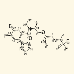 C=N/C(=C\N=C(/C)C(F)(F)F)OC[C@H](C)N(CC)C(=O)c1cc(F)c(F)cc1-n1nccn1